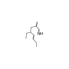 C=C(C=N)CC(C=CCC)CC